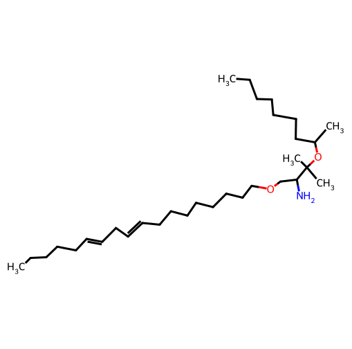 CCCCCC=CCC=CCCCCCCCCOCC(N)C(C)(C)OC(C)CCCCCCC